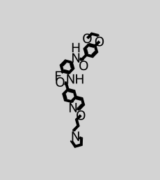 O=C(Nc1ccc(F)c(NC(=O)c2ccc3nc(OCCCN4CCCC4)ccc3c2)c1)c1ccc2c(c1)OCCO2